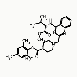 COC(=O)[C@@H](Nc1nc(CN2CCN(C(=O)Nc3c(C)cc(C)cc3C)CC2)nc2ccccc12)C(C)C